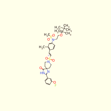 Cc1cc(N(CCO[Si](C)(C)C(C)(C)C)S(C)(=O)=O)ccc1/C=C/S(=O)(=O)N1CCC2(CC1)N=C(c1cccc(OF)c1)NC2=O